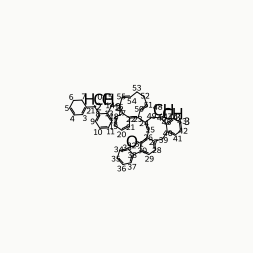 C=C(C1=CC=CCC1)c1ccccc1C(=C)C1=c2/cccc/c2=C(\C2=C/c3c(ccc4c3oc3ccccc34)Cc3ccccc3C(C)(C)C2)/C=C/CC/C=C/1